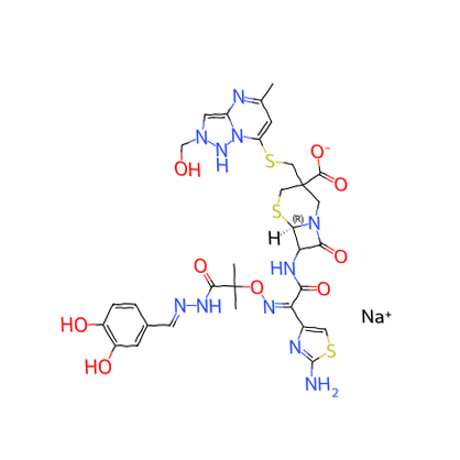 CC1=NC2=CN(CO)NN2C(SCC2(C(=O)[O-])CS[C@@H]3C(NC(=O)C(=NOC(C)(C)C(=O)NN=Cc4ccc(O)c(O)c4)c4csc(N)n4)C(=O)N3C2)=C1.[Na+]